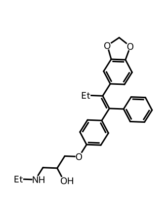 CCNCC(O)COc1ccc(C(=C(CC)c2ccc3c(c2)OCO3)c2ccccc2)cc1